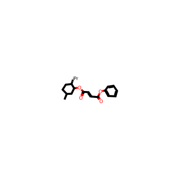 CC1CCC(C(C)C)C(OC(=O)C=CC(=O)Oc2ccccc2)C1